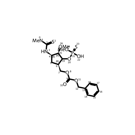 CNC(=S)N[C@@H]1C[C@H](COC(=O)OCc2ccccc2)C(OP(O)(=S)OC)[C@@H]1OC